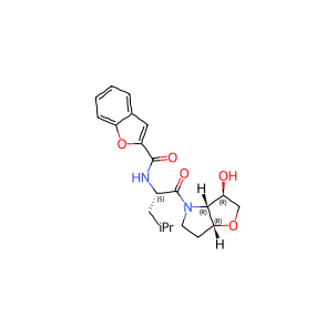 CC(C)C[C@H](NC(=O)c1cc2ccccc2o1)C(=O)N1CC[C@H]2OC[C@H](O)[C@H]21